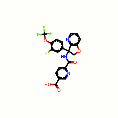 O=C(O)c1ccc(C(=O)NC2(c3ccc(OC(F)(F)F)c(F)c3)COc3cccnc32)nc1